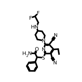 CCc1c(C#N)c(SC(C(N)=O)c2ccccc2)nc(N2CCC(NCC(F)F)CC2)c1C#N